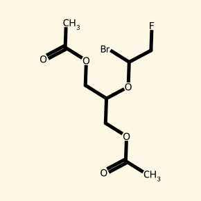 CC(=O)OCC(COC(C)=O)OC(Br)CF